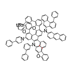 CC(C)(C)c1cccc2c1oc1c(N3C=CC(c4ccccc4)=CC3)cc3c(N(c4cccc(-c5ccccc5)c4)c4ccc5c(c4)oc4ccccc45)c(-c4ccccc4)c4cc(N(c5ccc6cc7ccccc7cc6c5)c5cc6ccccc6c6c(-c7ccccc7)cccc56)c5c6cccc(-c7cccc(-c8ccccc8)c7)c6oc5c4c3c12